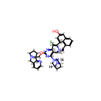 C#Cc1cccc2cc(O)cc(-c3ncc4c(N5C[C@H]6CC[C@@H](C5)N6)nc(OCC56CCCN5Cc5cccnc56)nc4c3F)c12